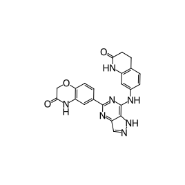 O=C1CCc2ccc(Nc3nc(-c4ccc5c(c4)NC(=O)CO5)nc4cn[nH]c34)cc2N1